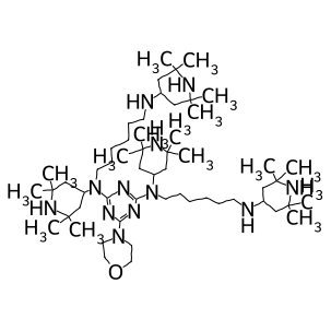 CC1(C)CC(NCCCCCCN(c2nc(N3CCOCC3)nc(N(CCCCCCNC3CC(C)(C)NC(C)(C)C3)C3CC(C)(C)NC(C)(C)C3)n2)C2CC(C)(C)NC(C)(C)C2)CC(C)(C)N1